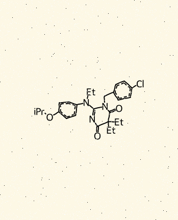 CCN(C1=NC(=O)C(CC)(CC)C(=O)N1Cc1ccc(Cl)cc1)c1ccc(OC(C)C)cc1